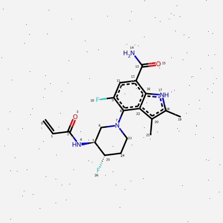 C=CC(=O)N[C@H]1CN(c2c(F)cc(C(N)=O)c3[nH]c(C)c(C)c23)CC[C@@H]1F